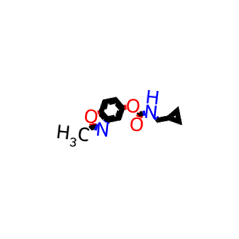 Cc1nc2cc(OC(=O)NCC3CC3)ccc2o1